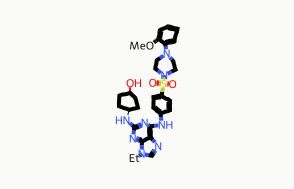 CCn1cnc2c(Nc3ccc(S(=O)(=O)N4CCN(c5ccccc5OC)CC4)cc3)nc(N[C@H]3CC[C@H](O)CC3)nc21